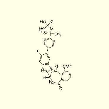 COc1cccc2c1[C@H]1C[C@H](NC2=O)c2nc3cc(F)c(-c4cnc(C(C)(C)OP(=O)(O)O)nc4)cc3n21